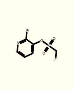 O=S(=O)(CF)Oc1cccnc1Br